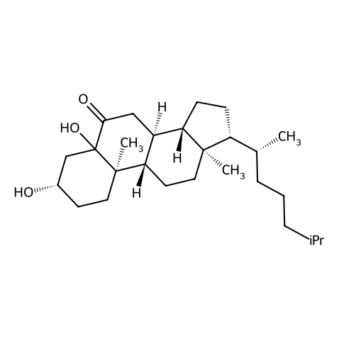 CC(C)CCC[C@@H](C)[C@H]1CC[C@H]2[C@@H]3CC(=O)C4(O)C[C@@H](O)CC[C@]4(C)[C@H]3CC[C@]12C